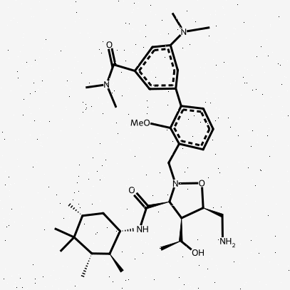 COc1c(CN2O[C@@H](CN)[C@@H]([C@H](C)O)[C@H]2C(=O)N[C@H]2C[C@@H](C)C(C)(C)[C@@H](C)[C@@H]2C)cccc1-c1cc(C(=O)N(C)C)cc(N(C)C)c1